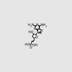 Nc1nc(N)c2nnn(C3OC(C=CP(=O)(O)O)CC3O)c2n1